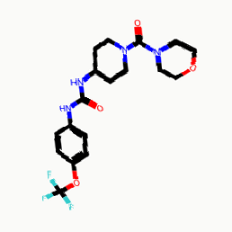 O=C(Nc1ccc(OC(F)(F)F)cc1)NC1CCN(C(=O)N2CCOCC2)CC1